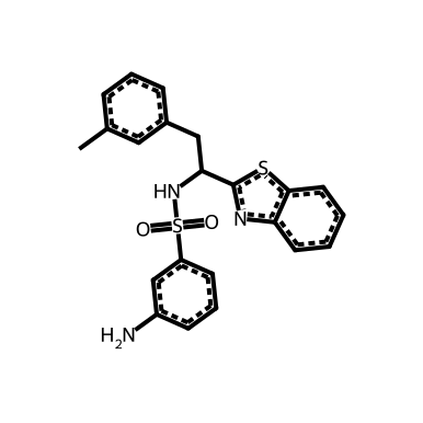 Cc1cccc(CC(NS(=O)(=O)c2cccc(N)c2)c2nc3ccccc3s2)c1